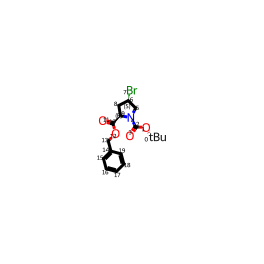 CC(C)(C)OC(=O)N1C[C@@H](Br)C[C@@H]1C(=O)OCc1ccccc1